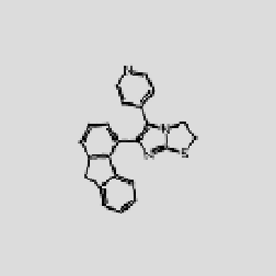 c1ccc2c(c1)Cc1cccc(-c3nc4n(c3-c3ccncc3)CCS4)c1-2